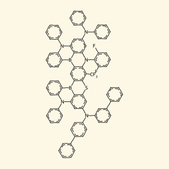 Fc1cccc(F)c1N1c2cc(N(c3ccccc3)c3ccccc3)cc3c2B(c2ccccc2N3c2ccccc2)c2cc3c(c(C(F)(F)F)c21)Sc1cc(N(c2ccc(-c4ccccc4)cc2)c2cccc(-c4ccccc4)c2)cc2c1B3c1ccccc1N2c1ccccc1